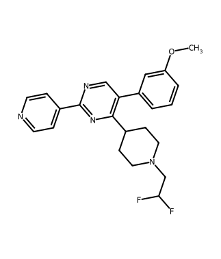 COc1cccc(-c2cnc(-c3ccncc3)nc2C2CCN(CC(F)F)CC2)c1